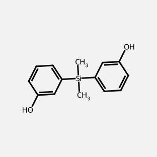 C[Si](C)(c1cccc(O)c1)c1cccc(O)c1